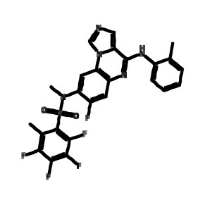 Cc1ccccc1Nc1nc2cc(F)c(N(C)S(=O)(=O)c3c(C)c(F)c(F)c(F)c3F)cc2n2cncc12